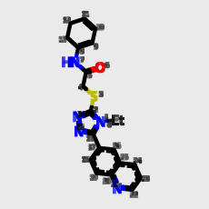 CCn1c(SCC(=O)NC2=CC=CCC2)nnc1-c1ccc2ncccc2c1